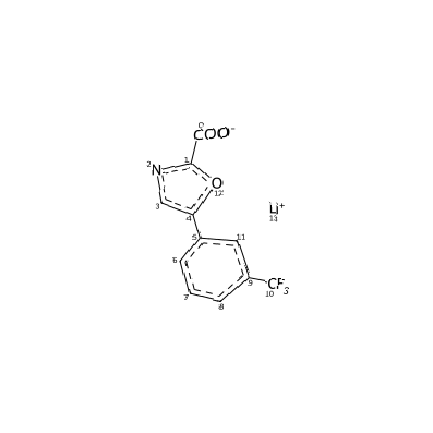 O=C([O-])c1ncc(-c2cccc(C(F)(F)F)c2)o1.[Li+]